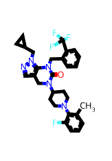 Cc1cccc(F)c1N1CCC(N2Cc3cnn(CC4CC4)c3N(Cc3ccccc3C(F)(F)F)C2=O)CC1